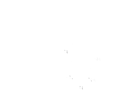 C#CCN(C)c1nn[nH]c1S